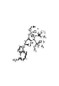 COP(=O)(OC1CC(n2cnc3c(N)ncnc32)OC1CC(C)(C)C)OC(C)(C)C